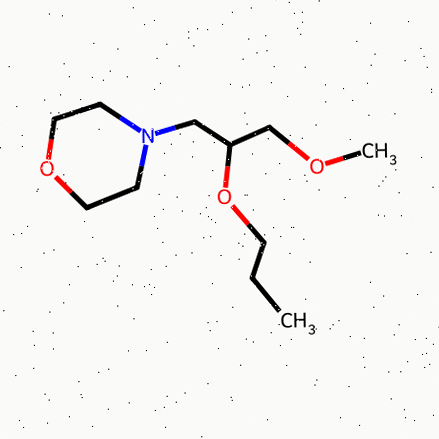 CCCOC(COC)CN1CCOCC1